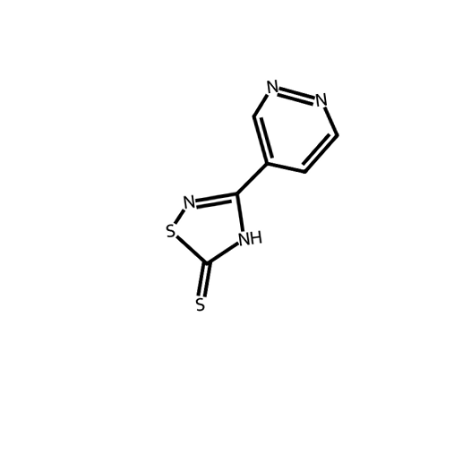 S=c1[nH]c(-c2ccnnc2)ns1